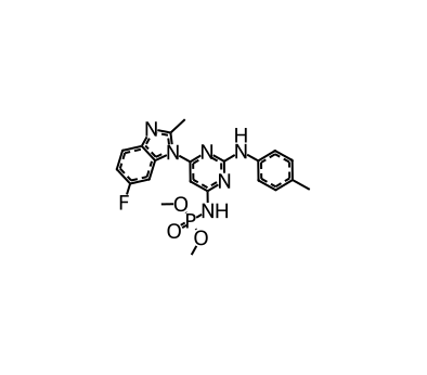 COP(=O)(Nc1cc(-n2c(C)nc3ccc(F)cc32)nc(Nc2ccc(C)cc2)n1)OC